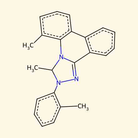 Cc1ccccc1N1N=C2c3ccccc3-c3cccc(C)c3N2C1C